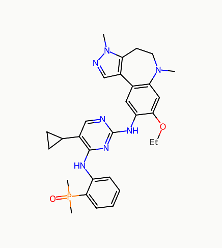 CCOc1cc2c(cc1Nc1ncc(C3CC3)c(Nc3ccccc3P(C)(C)=O)n1)-c1cnn(C)c1CCN2C